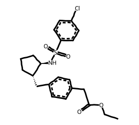 CCOC(=O)Cc1ccc(C[C@@H]2CCC[C@H]2NS(=O)(=O)c2ccc(Cl)cc2)cc1